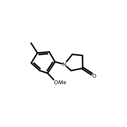 COc1ccc(C)cc1N1CCC(=O)C1